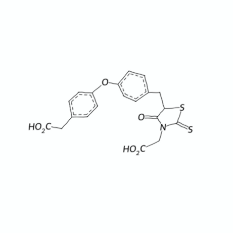 O=C(O)Cc1ccc(Oc2ccc(CC3SC(=S)N(CC(=O)O)C3=O)cc2)cc1